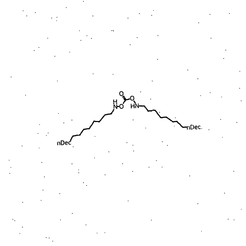 CCCCCCCCCCCCCCCCCCNOC(=O)ONCCCCCCCCCCCCCCCCCC